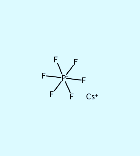 F[P-](F)(F)(F)(F)F.[Cs+]